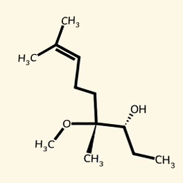 CC[C@@H](O)[C@@](C)(CCC=C(C)C)OC